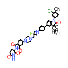 CC1(C)C(=O)N(c2ccc(C#N)c(Cl)c2)c2ccc(-c3ccc(N4CC(F)(CN5CCN(c6ccc7c(c6)C(=O)N(C6CCC(=O)NC6=O)C7=O)CC5)C4)cc3)cc21